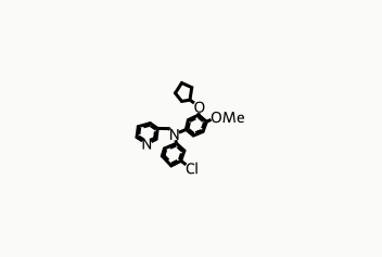 COc1ccc(N(Cc2cccnc2)c2cccc(Cl)c2)cc1OC1CCCC1